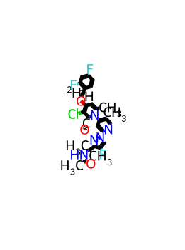 [2H]C([2H])(OC1=C(Cl)C(=C=O)N(c2cc(-n3cc(F)c(C(C)(C)NC(C)=O)n3)ncc2C)C(C)=C1)c1ccc(F)cc1F